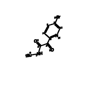 CC(C)(C)NC(=O)C(=O)c1ccc(Br)cn1